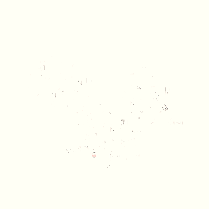 CCN(C(=O)c1c(OC(=O)OC(C)(C)C)c2c(Cl)cccc2n(C)c1=O)c1cccc(-c2ccc3c(c2Cl)c(OC(=O)OC)c(C(=O)N(CC)c2cccc(-c4ccc5c(c4Cl)c(OC(=O)OCC(C)C)c(C(=O)N(CC)c4ccccc4)c(=O)n5C)c2)c(=O)n3C)c1